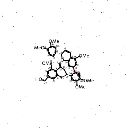 COc1ccc([C@@H]2C=Cc3c(OC)cc(CO)c([C@H]4C(=O)c5c(OC)cc(CO)cc5O[C@@H]4c4ccc(OC)c(OC)c4)c3O2)cc1OC